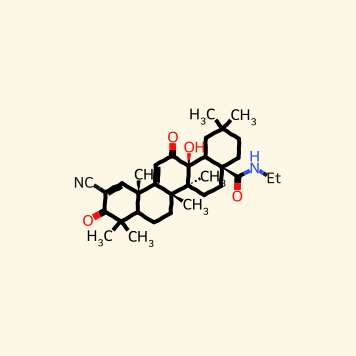 CCNC(=O)[C@]12CCC(C)(C)CC1[C@@]1(O)C(=O)C=C3[C@@]4(C)C=C(C#N)C(=O)C(C)(C)C4CC[C@@]3(C)[C@]1(C)CC2